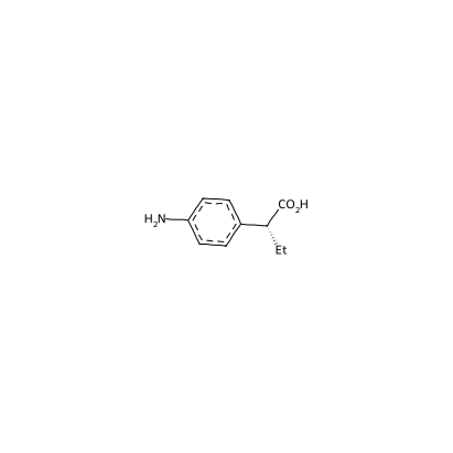 CC[C@@H](C(=O)O)c1ccc(N)cc1